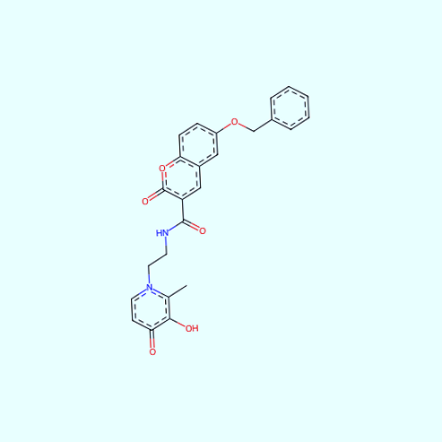 Cc1c(O)c(=O)ccn1CCNC(=O)c1cc2cc(OCc3ccccc3)ccc2oc1=O